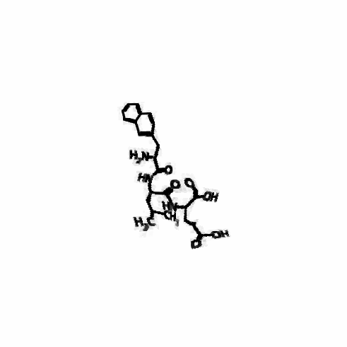 CC(C)C[C@@H](NC(=O)[C@@H](N)Cc1ccc2ccccc2c1)C(=O)N[C@H](CCC(=O)O)C(=O)O